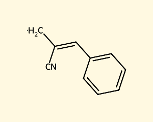 [CH2]/C(C#N)=C/c1ccccc1